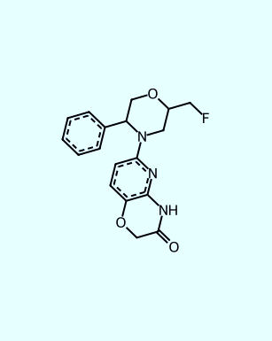 O=C1COc2ccc(N3CC(CF)OCC3c3ccccc3)nc2N1